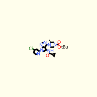 C[C@H]1CN(C(=O)OC(C)(C)C)CCN1c1ncnc2c1c(NC(=O)C1CC1)cn2-c1cc(Cl)ccn1